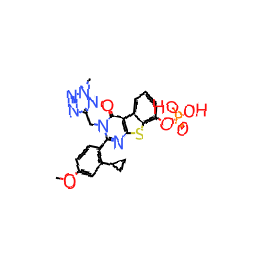 COc1ccc(-c2nc3sc4c(OP(=O)(O)O)cccc4c3c(=O)n2Cc2nnn(C)n2)c(C2CC2)c1